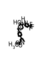 COC(=O)c1cc(-c2ccc(SN3CCC(Nc4ccc(C(F)(F)F)cn4)C(O)C3)cc2)ccn1